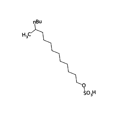 CCCCC(C)CCCCCCCCCCOS(=O)(=O)O